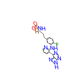 O=[SH](=O)NCCCc1ccc(F)c(Nc2ncccc2-c2ncnc3[nH]cnc23)c1